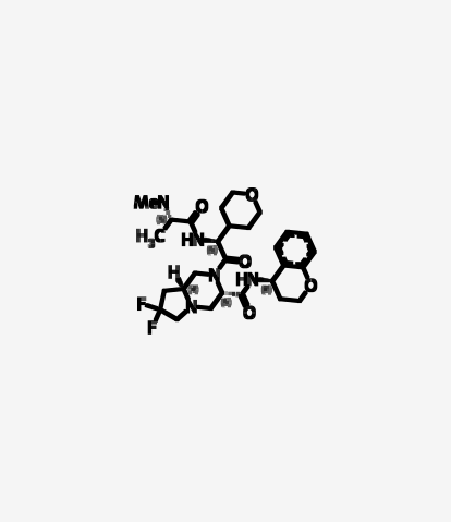 CN[C@@H](C)C(=O)N[C@H](C(=O)N1C[C@H]2CC(F)(F)CN2C[C@H]1C(=O)N[C@@H]1CCOc2ccccc21)C1CCOCC1